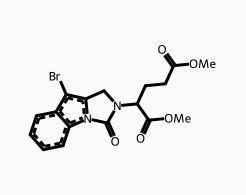 COC(=O)CCC(C(=O)OC)N1Cc2c(Br)c3ccccc3n2C1=O